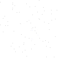 CN1OC2(CCCc3sc(C(C)(C)C)cc32)N=C1N